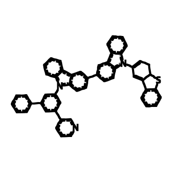 C1=C2c3ccccc3SC2CC=C1n1c2ccccc2c2cc(-c3ccc4c(c3)c3ccccc3n4-c3cc(-c4ccccc4)cc(-c4cccnc4)c3)ccc21